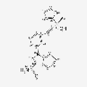 C[C@@](O)(C#Cc1cccc(-n2nc(C(N)=O)c3ccccc32)c1)c1ncco1